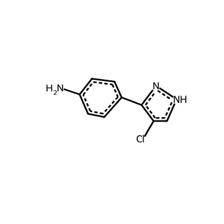 Nc1ccc(-c2n[nH]cc2Cl)cc1